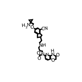 N#Cc1cc(OCC2(N)CC2)cc2c1CC(CCNCC1CN(c3ccc4c(n3)NC(=O)CO4)C(=O)O1)C2